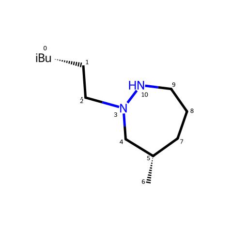 CC[C@@H](C)C[CH]N1C[C@@H](C)CCCN1